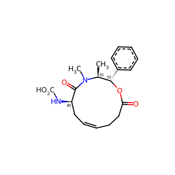 C[C@H]1[C@H](c2ccccc2)OC(=O)CCC=CC[C@@H](NC(=O)O)C(=O)N1C